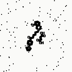 CCN(CCCCCC(=O)c1ccc(N2CCCC2)cc1)Cc1ccccc1OC.O=C(O)C=CC(=O)O